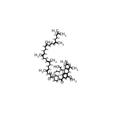 CCC[C@@H](CO)Nc1nc(N)nc(C)c1Cc1ccc(C(=O)N2CCN(C(=O)CCC(C)=CCCC(C)=CCCC(C)=CCCC=C(C)CCC=C(C)CCC=C(C)C)CC2)cc1OC